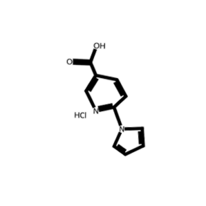 Cl.O=C(O)c1ccc(-n2cccc2)nc1